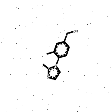 Cc1cc(CO)ccc1-n1ccnc1C